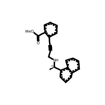 COC(=O)c1ccccc1C#CCN[C@H](C)c1cccc2ccccc12